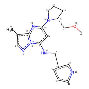 Bc1cnn2c(NCc3cccnc3)cc(N3CCC[C@@H]3COC)nc12